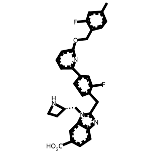 Cc1ccc(COc2cccc(-c3ccc(Cc4nc5ccc(C(=O)O)cc5n4C[C@@H]4CCN4)c(F)c3)n2)c(F)c1